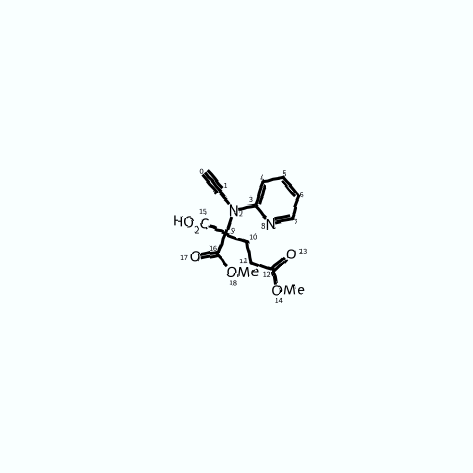 C#CN(c1ccccn1)C(CCC(=O)OC)(C(=O)O)C(=O)OC